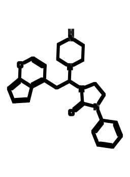 O=C1N(c2ccccc2)CCN1C(Cc1ccoc2cccc1-2)N1CCNCC1